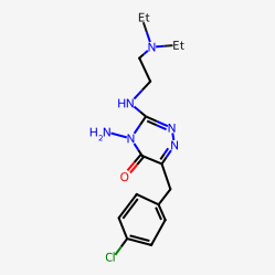 CCN(CC)CCNc1nnc(Cc2ccc(Cl)cc2)c(=O)n1N